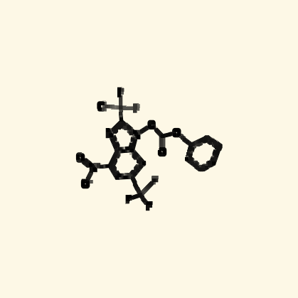 O=C(Oc1ccccc1)On1c(C(F)(F)Cl)nc2c([N+](=O)[O-])cc(C(F)(F)F)cc21